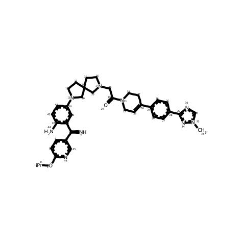 CC(C)Oc1ccc(C(=N)c2cc(N3CCC4(CCN(CC(=O)N5CC=C(c6ccc(-c7ncn(C)n7)cc6)CC5)C4)C3)ccc2N)cn1